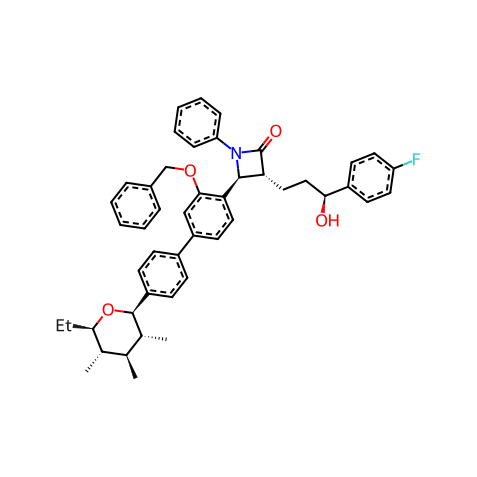 CC[C@H]1O[C@@H](c2ccc(-c3ccc([C@@H]4[C@@H](CC[C@H](O)c5ccc(F)cc5)C(=O)N4c4ccccc4)c(OCc4ccccc4)c3)cc2)[C@H](C)[C@@H](C)[C@@H]1C